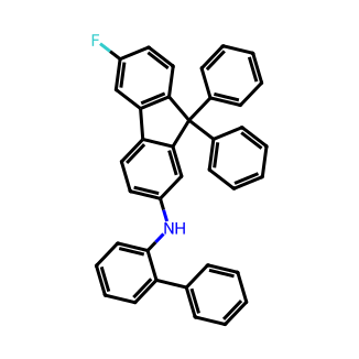 Fc1ccc2c(c1)-c1ccc(Nc3ccccc3-c3ccccc3)cc1C2(c1ccccc1)c1ccccc1